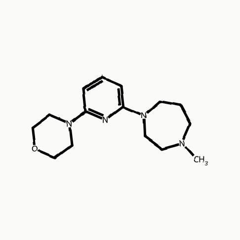 CN1CCCN(c2c[c]cc(N3CCOCC3)n2)CC1